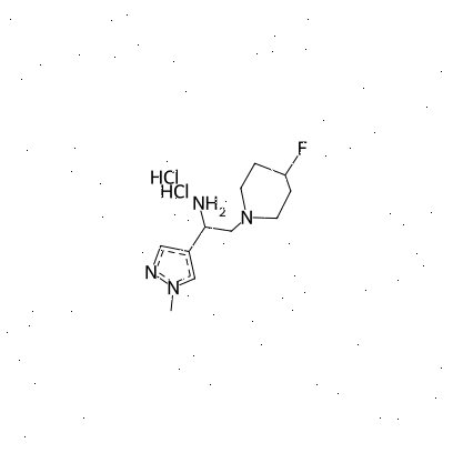 Cl.Cl.Cn1cc(C(N)CN2CCC(F)CC2)cn1